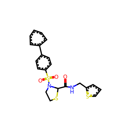 O=C(NCc1cccs1)C1SCCN1S(=O)(=O)c1ccc(-c2ccccc2)cc1